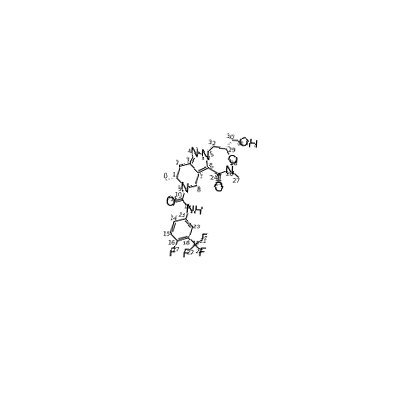 C[C@@H]1Cc2nn3c(c2CN1C(=O)Nc1ccc(F)c(C(F)(F)F)c1)C(=O)N(C)O[C@@H](CO)C3